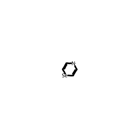 C1=C[Se]C=C[N]1